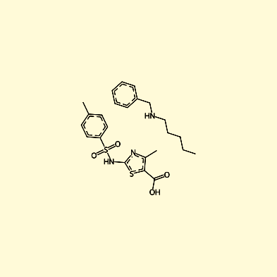 CCCCCNCc1ccccc1.Cc1ccc(S(=O)(=O)Nc2nc(C)c(C(=O)O)s2)cc1